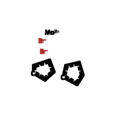 [Br-].[Br-].[Mo+2].c1cc[cH-]c1.c1cc[cH-]c1